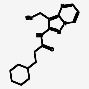 CC(C)(C)Cc1c(NC(=O)CCC2CCCCC2)nn2cccnc12